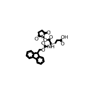 O=C(O)CC[C@H](NC(=O)OCC1c2ccccc2-c2ccccc21)C(=O)ON1C(=O)CCC1=O